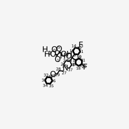 O.O=C(O)C(=O)O.OC(c1ccc(F)cc1)(c1ccc(F)cc1)C1CCN(CCCOc2ccccc2)CC1